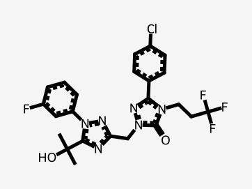 CC(C)(O)c1nc(Cn2nc(-c3ccc(Cl)cc3)n(CCC(F)(F)F)c2=O)nn1-c1cccc(F)c1